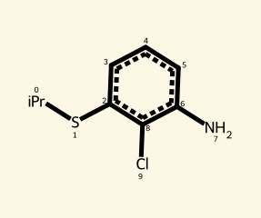 CC(C)Sc1cccc(N)c1Cl